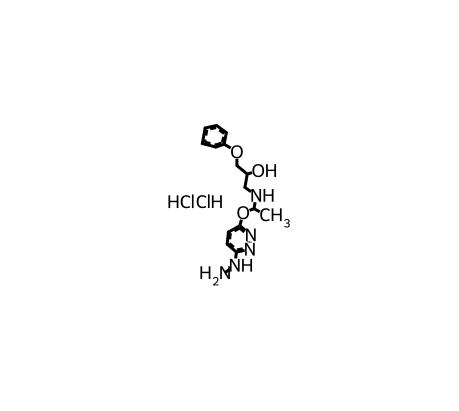 CC(NCC(O)COc1ccccc1)Oc1ccc(NN)nn1.Cl.Cl